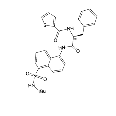 CC(C)(C)NS(=O)(=O)c1cccc2c(NC(=O)[C@H](Cc3ccccc3)NC(=O)c3cccs3)cccc12